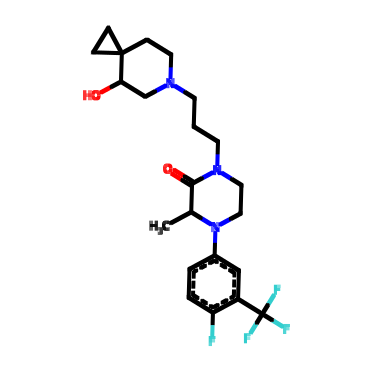 CC1C(=O)N(CCCN2CCC3(CC3)C(O)C2)CCN1c1ccc(F)c(C(F)(F)F)c1